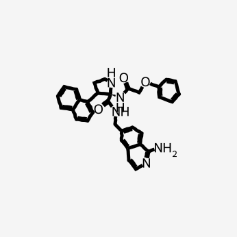 Nc1nccc2cc(CNC(=O)[C@]3(NC(=O)COc4ccccc4)NCCC3c3cccc4ccccc34)ccc12